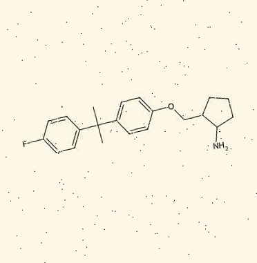 CC(C)(c1ccc(F)cc1)c1ccc(OCC2CCCC2N)cc1